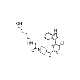 O=C(CNCCCCCCO)N1CCC(Nc2ncc(Cl)c(-c3c[nH]c4ccccc34)n2)CC1